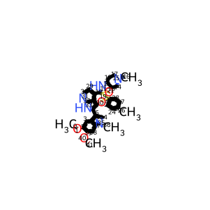 COc1cc2c(-c3cc4c(C(NC5CCN(C)CC5)S(=O)(=O)c5ccc(C)cc5)ccnc4[nH]3)cn(C)c2cc1OC